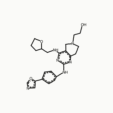 OCCN1CCc2nc(Nc3ccc(-c4cnco4)cc3)nc(NCC3CCCO3)c2C1